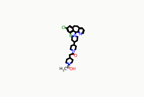 CB(O)N1CCC(CC(=O)N2CCC(C3CCN(C4c5ncccc5CCc5cc(Cl)cc(Br)c54)CC3)CC2)CC1